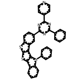 c1ccc(-c2nc(-c3ccncc3)nc(-c3ccc4sc5sc6c7ccccc7n(-c7ccccc7)c6c5c4c3)n2)cc1